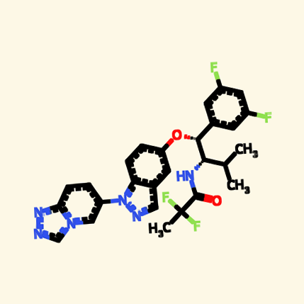 CC(C)[C@H](NC(=O)C(C)(F)F)[C@H](Oc1ccc2c(cnn2-c2ccc3nncn3c2)c1)c1cc(F)cc(F)c1